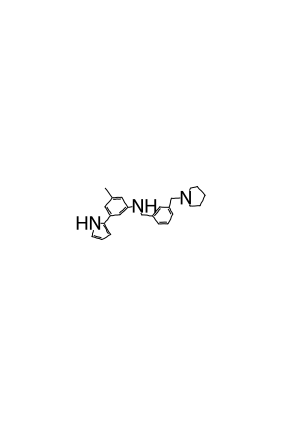 Cc1cc(NCc2cccc(CN3CCCCC3)c2)cc(-c2ccc[nH]2)c1